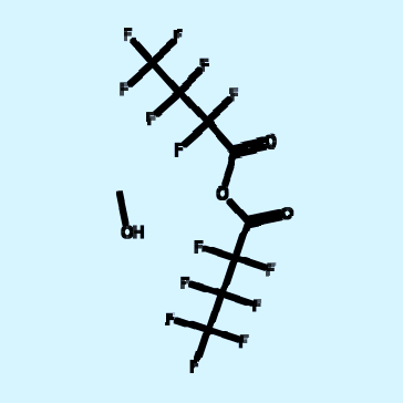 CO.O=C(OC(=O)C(F)(F)C(F)(F)C(F)(F)F)C(F)(F)C(F)(F)C(F)(F)F